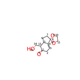 O=C1CC=C2C(CCC23OCCO3)C1CO